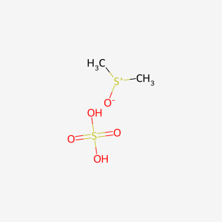 C[S+](C)[O-].O=S(=O)(O)O